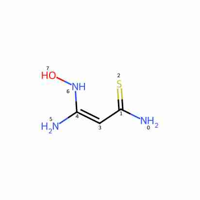 NC(=S)/C=C(/N)NO